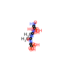 COc1cc(N=Nc2cc(O)c(N=Nc3c(S(=O)(=O)O)cc4cc(NC=O)ccc4c3O)cc2C)ccc1N=Nc1ccc2cc(S(=O)(=O)O)cc(S(=O)(=O)O)c2c1